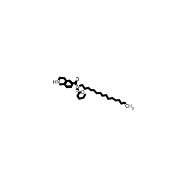 CCCCCCCCCCCCCCCCN(OC1CCCCO1)C(=O)c1ccc2c(c1)CCNC2